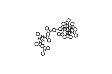 c1ccc(-c2nc(-n3c4ccccc4c4cc5c(cc43)c3ccccc3n5-c3ccccc3)nc(-n3c4ccccc4c4cc5c(cc43)c3ccccc3n5-c3ccc(-c4ccc5c(c4)c4ccc6c7ccccc7n(-c7ccccc7)c6c4n5-c4nc(-n5c6ccccc6c6ccc7c8ccccc8n(-c8ccccc8)c7c65)nc(-n5c6ccccc6c6ccc7c8ccccc8n(-c8ccccc8)c7c65)n4)cc3)n2)cc1